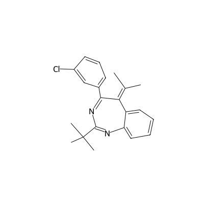 CC(C)=C1C(c2cccc(Cl)c2)=NC(C(C)(C)C)=Nc2ccccc21